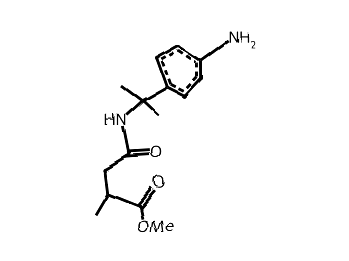 COC(=O)C(C)CC(=O)NC(C)(C)c1ccc(N)cc1